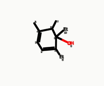 CCC1=CC=C(C)C(C)C1(O)CC